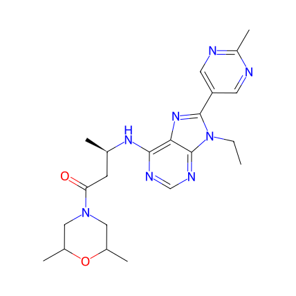 CCn1c(-c2cnc(C)nc2)nc2c(N[C@H](C)CC(=O)N3CC(C)OC(C)C3)ncnc21